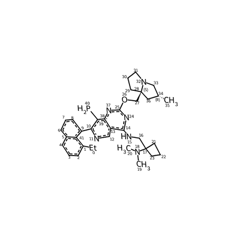 CCc1cccc2cccc(-c3ncc4c(NCC5(N(C)C)CCC5)nc(OC[C@@]56CCCN5C[C@H](C)C6)nc4c3P)c12